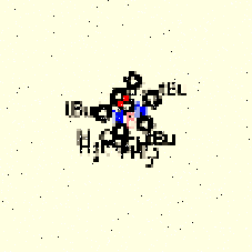 CC(C)c1cc2c3c(c1)N(c1ccc(C(C)(C)C)cc1-c1ccc(-c4ccccc4)cc1)c1cc4c(cc1B3c1cc(C(C)(C)C)ccc1N2c1ccc(C(C)(C)C)cc1)C(C)(C)CC4(C)C